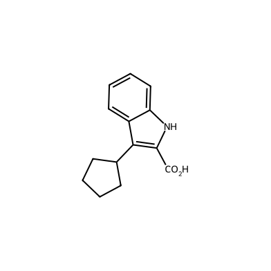 O=C(O)c1[nH]c2ccccc2c1C1CCCC1